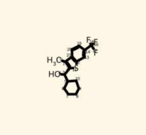 Cc1c(C(O)C2CCCCC2)sc2cc(C(F)(F)F)ccc12